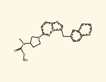 CN(C(=O)OC(C)(C)C)C1CCN(c2ccc3ncc(Cc4ccc5ncccc5c4)n3n2)C1